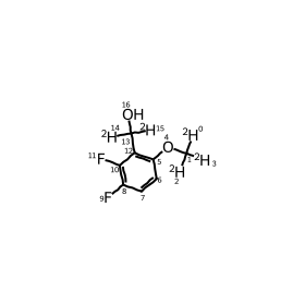 [2H]C([2H])([2H])Oc1ccc(F)c(F)c1C([2H])([2H])O